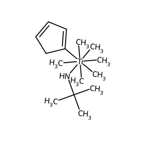 CC(C)(C)[NH][Ti]([CH3])([CH3])([CH3])([CH3])([CH3])([CH3])[C]1=CC=CC1